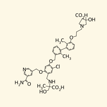 Cc1c(COc2cc(OCc3cncc(C(N)=O)c3)c(CNC(C)(CO)C(=O)O)cc2Cl)cccc1-c1cccc(OCCCN2CCC(O)(C(=O)O)C2)c1C